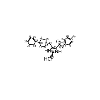 Cc1ccc(NC(=O)c2[nH]c(=O)[nH]c2CN2CCC(c3ccccc3)CC2)cc1.Cl